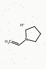 C=CN1CCCC1.[H+]